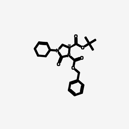 CC(C)(C)OC(=O)[C@@H]1CN(C2C=CCCC2)C(=O)N1C(=O)OCc1ccccc1